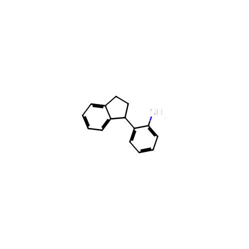 Nc1ccccc1C1CCc2ccccc21